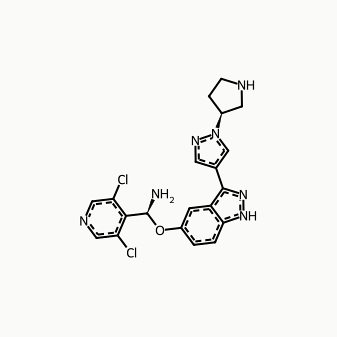 N[C@@H](Oc1ccc2[nH]nc(-c3cnn([C@H]4CCNC4)c3)c2c1)c1c(Cl)cncc1Cl